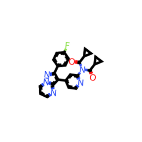 O=C(C1CC1)N(C(=O)C1CC1)c1cc(-c2c(-c3ccc(F)cc3)nn3cccnc23)ccn1